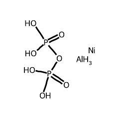 O=P(O)(O)OP(=O)(O)O.[AlH3].[Ni]